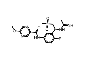 COc1cnc(C(=O)Nc2ccc(F)c(C(CS(C)(=O)=O)NC(C)=N)c2)cn1